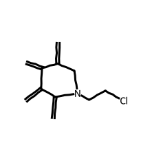 C=C1CN(CCCl)C(=C)C(=C)C1=C